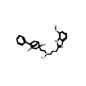 CCOc1cccc2nc(CCCN(C)CCC3(O)C[C@@H]4CCC3C=C4c3ccccc3)[nH]c12